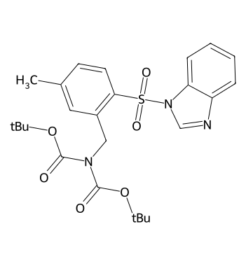 Cc1ccc(S(=O)(=O)n2cnc3ccccc32)c(CN(C(=O)OC(C)(C)C)C(=O)OC(C)(C)C)c1